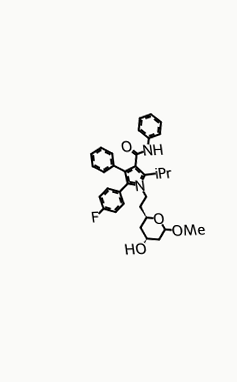 COC1C[C@H](O)C[C@@H](CCn2c(-c3ccc(F)cc3)c(-c3ccccc3)c(C(=O)Nc3ccccc3)c2C(C)C)O1